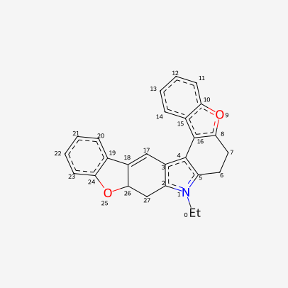 CCn1c2c(c3c1CCc1oc4ccccc4c1-3)C=C1c3ccccc3OC1C2